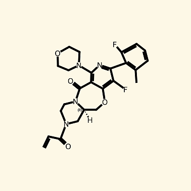 C=CC(=O)N1CCN2C(=O)c3c(N4CCOCC4)nc(-c4c(C)cccc4F)c(F)c3OC[C@H]2C1